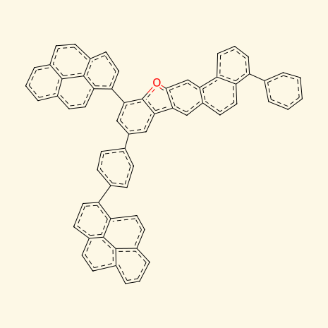 c1ccc(-c2cccc3c2ccc2cc4c(cc23)oc2c(-c3ccc5ccc6cccc7ccc3c5c67)cc(-c3ccc(-c5ccc6ccc7cccc8ccc5c6c78)cc3)cc24)cc1